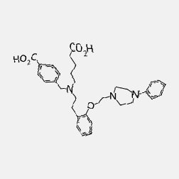 O=C(O)CCCCN(CCc1ccccc1OCCN1CCN(c2ccccc2)CC1)Cc1ccc(C(=O)O)cc1